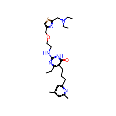 CCc1nc(NCCOCc2csc(CN(CC)CC)n2)[nH]c(=O)c1CCCc1cc(C)cc(C)n1